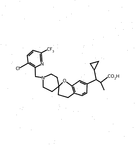 CC(C(=O)O)C(c1ccc2c(c1)OC1(CC2)CCN(Cc2nc(C(F)(F)F)ccc2Cl)CC1)C1CC1